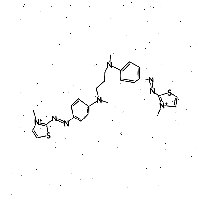 CN(CCCN(C)c1ccc(N=Nc2scc[n+]2C)cc1)c1ccc(N=Nc2scc[n+]2C)cc1